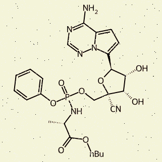 CCCCOC(=O)[C@H](C)NP(=O)(OC[C@@]1(C#N)O[C@@H](c2ccc3c(N)ncnn23)[C@H](O)[C@@H]1O)Oc1ccccc1